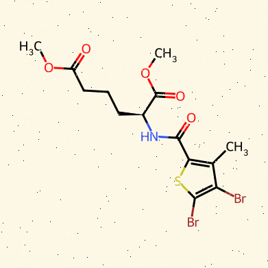 COC(=O)CCC[C@H](NC(=O)c1sc(Br)c(Br)c1C)C(=O)OC